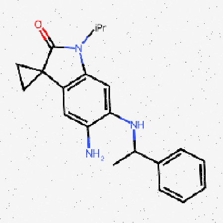 CC(Nc1cc2c(cc1N)C1(CC1)C(=O)N2C(C)C)c1ccccc1